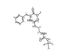 COC(=O)[C@H](Cc1ccccc1)NC(=O)OCCNC(=O)OC(C)(C)C